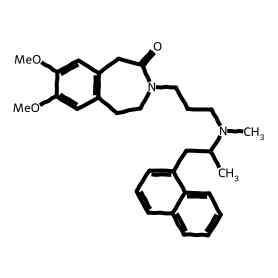 COc1cc2c(cc1OC)CC(=O)N(CCCN(C)C(C)Cc1cccc3ccccc13)CC2